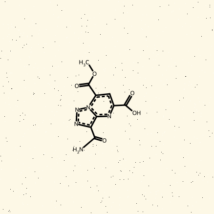 COC(=O)c1cc(C(=O)O)nc2c(C(N)=O)nnn12